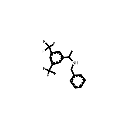 CC(NCc1ccccc1)c1cc(C(F)(F)F)cc(C(F)(F)F)c1